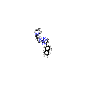 c1ccc2cc(-c3ccnc(N4CCC(CN5CCCCC5)C4)n3)ccc2c1